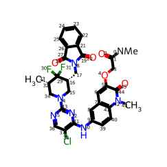 CNC(=O)COc1cc2cc(Nc3nc(N4C[C@@H](CN5C(=O)c6ccccc6C5=O)C(F)(F)[C@@H](C)C4)ncc3Cl)ccc2n(C)c1=O